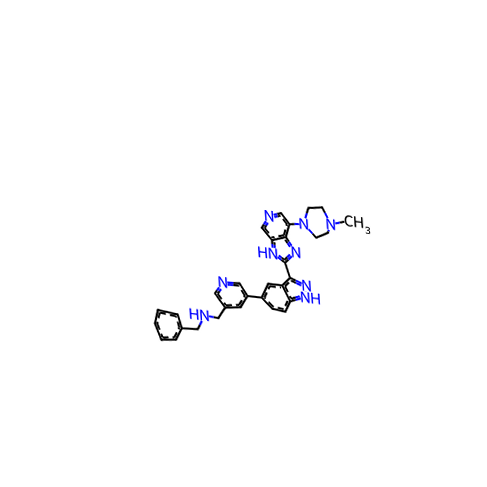 CN1CCN(c2cncc3[nH]c(-c4n[nH]c5ccc(-c6cncc(CNCc7ccccc7)c6)cc45)nc23)CC1